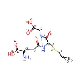 C=CCSCC(NC(=O)CCC(N)C(=O)O)C(=O)NCC(=O)O